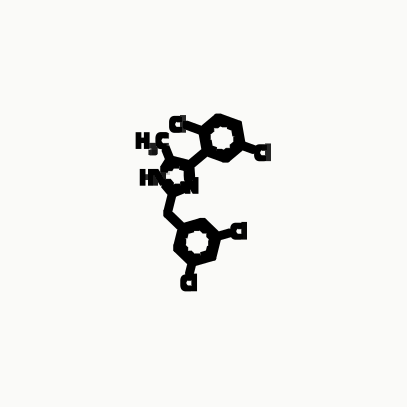 Cc1[nH]c(Cc2cc(Cl)cc(Cl)c2)nc1-c1cc(Cl)ccc1Cl